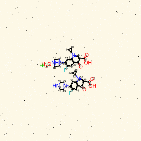 Cl.O.O=C(O)c1cn(C2CC2)c2cc(N3CCNCC3)c(F)cc2c1=O.O=C(O)c1cn(C2CC2)c2cc(N3CCNCC3)c(F)cc2c1=O